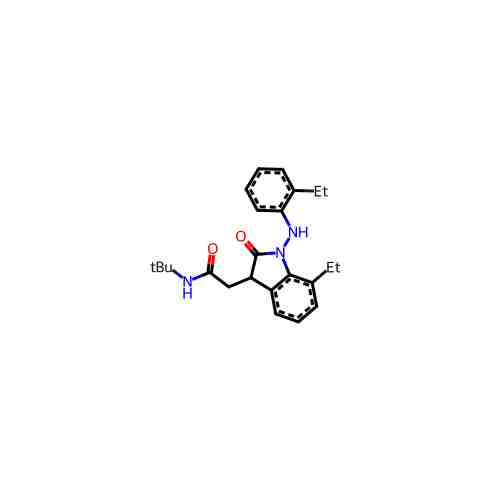 CCc1ccccc1NN1C(=O)C(CC(=O)NC(C)(C)C)c2cccc(CC)c21